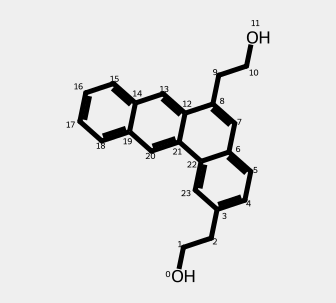 OCCc1ccc2cc(CCO)c3cc4ccccc4cc3c2c1